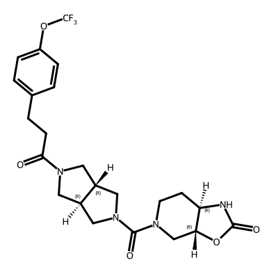 O=C1N[C@@H]2CCN(C(=O)N3C[C@H]4CN(C(=O)CCc5ccc(OC(F)(F)F)cc5)C[C@@H]4C3)C[C@H]2O1